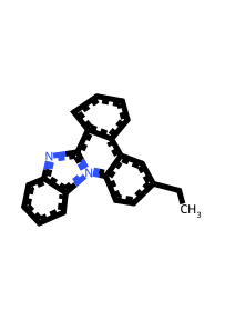 CCc1ccc2c(c1)c1ccccc1c1nc3ccccc3n21